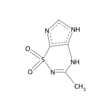 CC1=NS(=O)(=O)c2nc[nH]c2N1